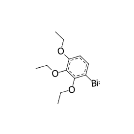 CCOc1cc[c]([Bi])c(OCC)c1OCC